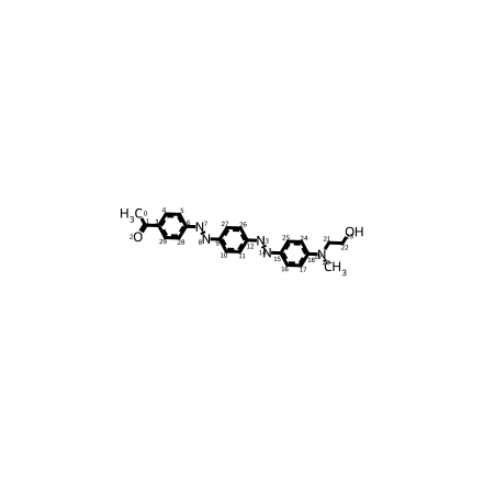 CC(=O)c1ccc(N=Nc2ccc(N=Nc3ccc(N(C)CCO)cc3)cc2)cc1